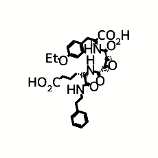 CCOc1ccc(C[C@H](NC(=O)[C@H]2O[C@@H]2C(=O)N[C@@H](CCCC(=O)O)C(=O)NCCc2ccccc2)C(=O)O)cc1